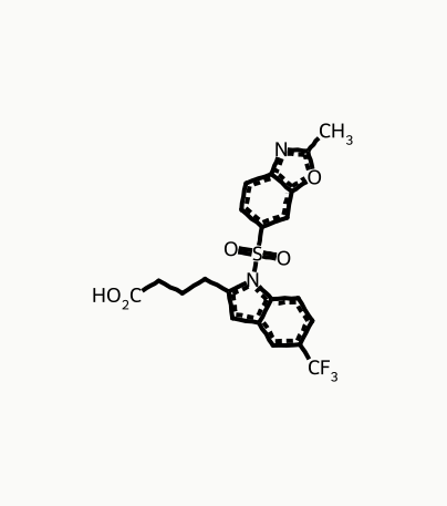 Cc1nc2ccc(S(=O)(=O)n3c(CCCC(=O)O)cc4cc(C(F)(F)F)ccc43)cc2o1